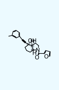 Cc1cccc(C#C[C@]2(O)CCC[C@@H]3[C@H]2CCN3C(=O)c2ccco2)c1